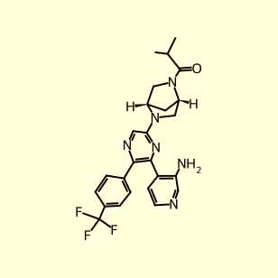 CC(C)C(=O)N1C[C@@H]2C[C@H]1CN2c1cnc(-c2ccc(C(F)(F)F)cc2)c(-c2ccncc2N)n1